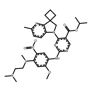 COc1cc(N(C)CCN(C)C)c([N+](=O)[O-])cc1Nc1ncc(C(=O)OC(C)C)c(N2CC3(CCC3)c3nc(C)ccc32)n1